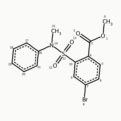 COC(=O)c1ccc(Br)cc1S(=O)(=O)N(C)c1ccccc1